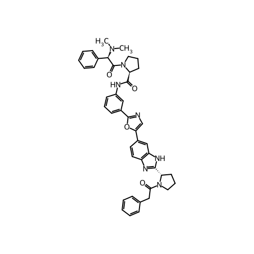 CN(C)[C@@H](C(=O)N1CCC[C@H]1C(=O)Nc1cccc(-c2ncc(-c3ccc4nc([C@@H]5CCCN5C(=O)Cc5ccccc5)[nH]c4c3)o2)c1)c1ccccc1